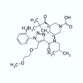 COCCOCc1c(C(=O)N(CC(C)C)[C@H]2C[C@@H](C(=O)C(C)(C)C)CN(C(=O)O)C2)nnn1-c1ccccc1C